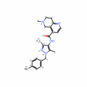 Cc1c(NC(=O)c2ccnc3c2CN(C)CC3)c(C(F)(F)F)nn1Cc1ccc(C#N)cc1